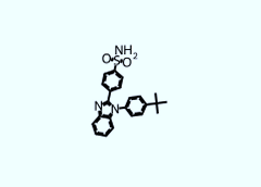 CC(C)(C)c1ccc(-n2c(-c3ccc(S(N)(=O)=O)cc3)nc3ccccc32)cc1